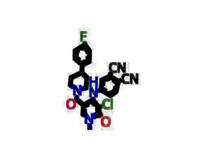 Cn1cc(C(=O)N2CCC(c3ccc(F)cc3)CC2)c(Nc2ccc(C#N)c(C#N)c2)c(Cl)c1=O